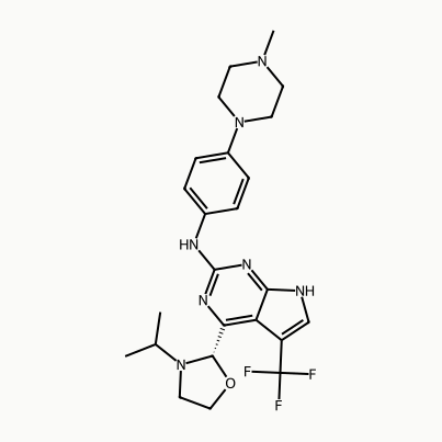 CC(C)N1CCO[C@H]1c1nc(Nc2ccc(N3CCN(C)CC3)cc2)nc2[nH]cc(C(F)(F)F)c12